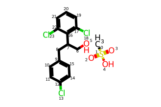 CS(=O)(=O)O.OCC(Cc1ccc(Cl)cc1)c1c(Cl)cccc1Cl